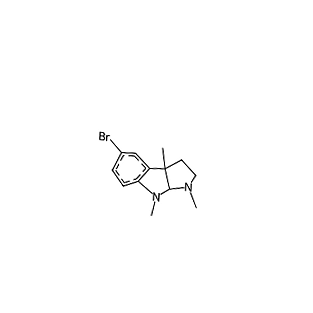 CN1CCC2(C)c3cc(Br)ccc3N(C)C12